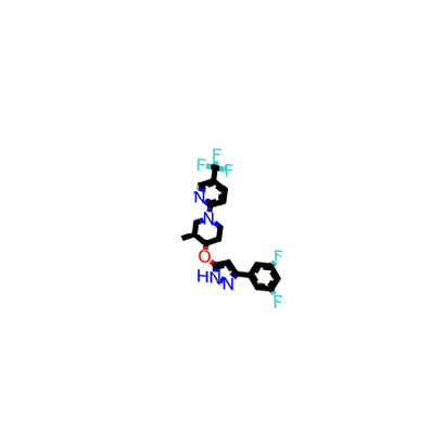 CC1CN(c2ccc(C(F)(F)F)cn2)CCC1Oc1cc(-c2cc(F)cc(F)c2)n[nH]1